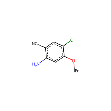 CC(C)Oc1cc(N)c(C#N)cc1Cl